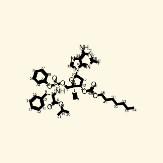 C#C[C@]1(CO[P@@](=O)(N[C@@H](Cc2ccccc2)C(=O)OC(C)C)Oc2ccccc2)O[C@@H](n2cnc3c(N)nc(F)nc32)C[C@@H]1OC(=O)OCCCCCCC